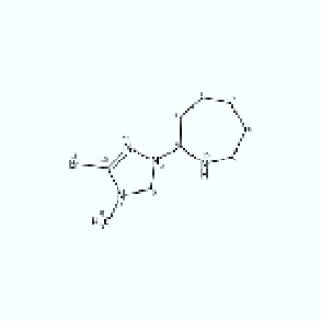 CN1CN(C2CCCCCN2)N=C1Br